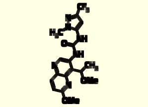 COc1ccc2ncc(NC(=O)Nc3cc(C(F)(F)F)nn3C)c(C(C)OC)c2n1